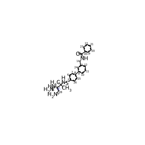 CC(C)(NSc1ccc(-c2cccc(CNC(=O)c3ccccc3)c2)cc1)/C(=C/N)NN